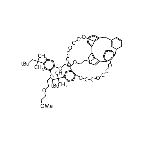 COCCOCCOc1cc(C(C)(C)CC(C)(C)C)ccc1OCCOCCOC1=C2CCC=C1c1cccc3c1OCCOCCOc1ccc(C(C)(C)CC(C)(C)C)cc1OCCOCCOc1c(cccc12)CC1=CC3CC=C1